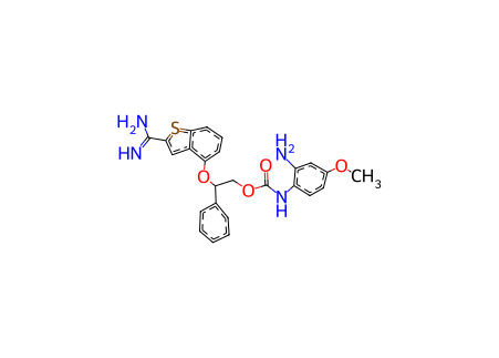 COc1ccc(NC(=O)OCC(Oc2cccc3sc(C(=N)N)cc23)c2ccccc2)c(N)c1